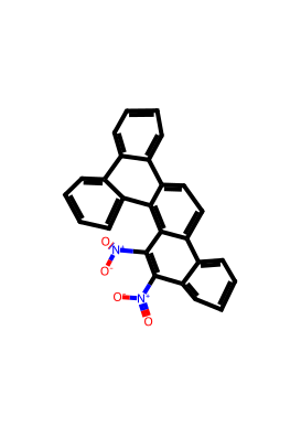 O=[N+]([O-])c1c([N+](=O)[O-])c2c(ccc3c4ccccc4c4ccccc4c32)c2ccccc12